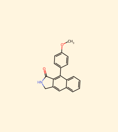 COc1ccc(-c2c3c(cc4ccccc24)CNC3=O)cc1